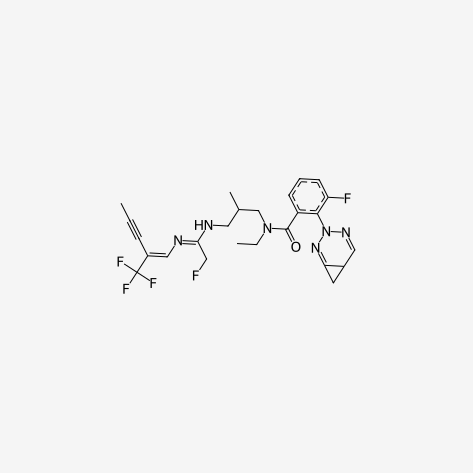 CC#C/C(=C\N=C(/CF)NCC(C)CN(CC)C(=O)c1cccc(F)c1N1N=CC2CC2=N1)C(F)(F)F